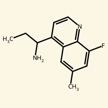 CCC(N)c1ccnc2c(F)cc(C)cc12